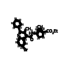 C=C1C2(NC(=O)c3c(C)c(-c4ccccc4)nc4ccc(Br)cc34)CCC1(C(=O)OCC)CC2